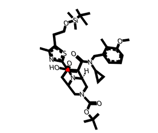 COc1cccc(CN(C(=O)C2=C(c3nc(C)c(CCO[Si](C)(C)C(C)(C)C)s3)CC3CN(C(=O)OC(C)(C)C)C[C@H]2N3C(=O)O)C2CC2)c1C